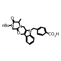 CCCCN1CC(=O)N(Cc2c(C)c3ccccc3n2Cc2ccc(C(=O)O)cc2)C(C)C1=O